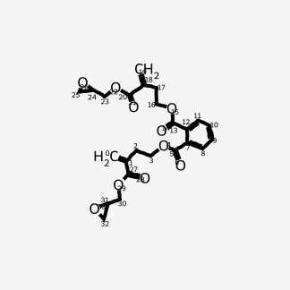 C=C(CCOC(=O)c1ccccc1C(=O)OCCC(=C)C(=O)OCC1CO1)C(=O)OCC1CO1